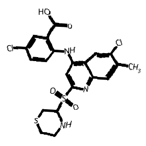 Cc1cc2nc(S(=O)(=O)C3CSCCN3)cc(Nc3ccc(Cl)cc3C(=O)O)c2cc1Cl